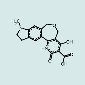 CN1CCc2cc3c(cc21)COCc1c-3[nH]c(=O)c(C(=O)O)c1O